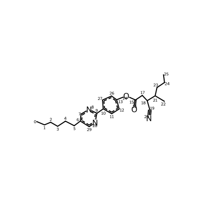 CCCCCCc1cnc(-c2ccc(OC(=O)CC(C#N)C(C)CCC)cc2)nc1